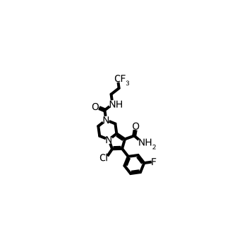 NC(=O)c1c(-c2cccc(F)c2)c(Cl)n2c1CN(C(=O)NCCC(F)(F)F)CC2